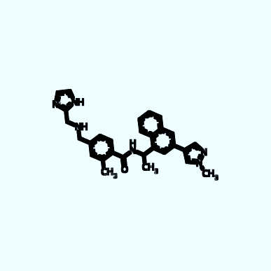 Cc1cc(CNCc2ncc[nH]2)ccc1C(=O)NC(C)c1cc(-c2cnn(C)c2)cc2ccccc12